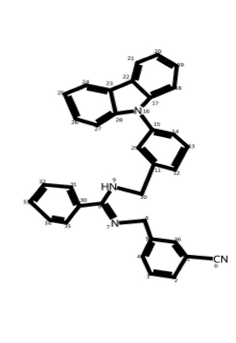 N#Cc1cccc(C/N=C(\NCc2cccc(-n3c4ccccc4c4ccccc43)c2)c2ccccc2)c1